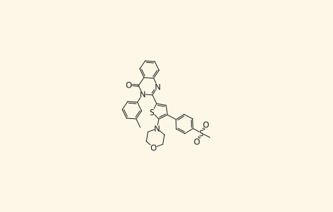 Cc1cccc(-n2c(-c3cc(-c4ccc(S(C)(=O)=O)cc4)c(N4CCOCC4)s3)nc3ccccc3c2=O)c1